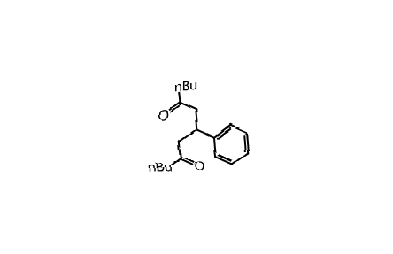 CCCCC(=O)CC(CC(=O)CCCC)c1ccccc1